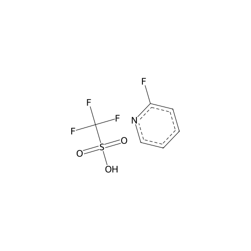 Fc1ccccn1.O=S(=O)(O)C(F)(F)F